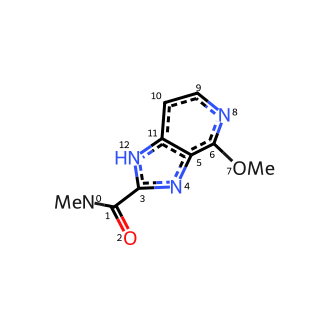 CNC(=O)c1nc2c(OC)nccc2[nH]1